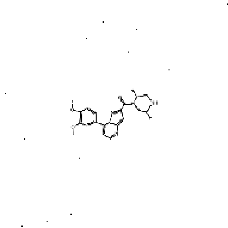 COc1ccc(-c2ccnc3cc(C(=O)N4C[C@H](C)NC[C@@H]4C)nn23)cc1OC